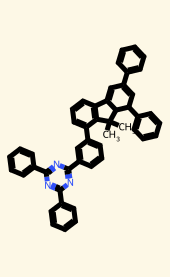 CC1(C)c2c(cccc2-c2cccc(-c3nc(-c4ccccc4)nc(-c4ccccc4)n3)c2)C2=CC(c3ccccc3)=CC(c3ccccc3)C21